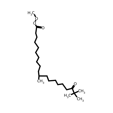 COOC(=O)CCCCCCCCCC(C)CCCCCCC(=O)C(C)(C)C